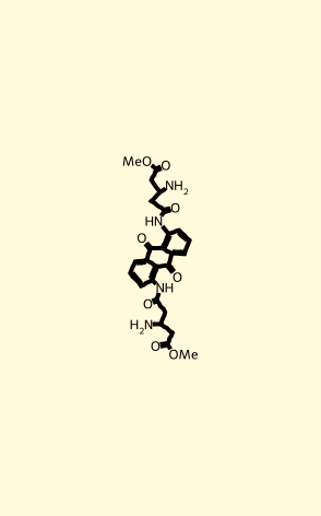 COC(=O)CC(N)CC(=O)Nc1cccc2c1C(=O)c1cccc(NC(=O)CC(N)CC(=O)OC)c1C2=O